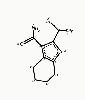 CCCC(CC)c1sc2c(c1C(N)=O)CCCC2